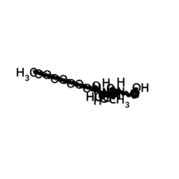 CCOCCOCCOCCOCCOCCOCCOCCC(=O)NC[C@H](NC(=O)c1c(C)nc(NCCCc2cccc(O)c2)nc1C)C(=O)O